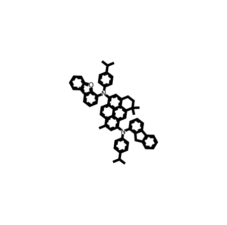 Cc1cc(N(c2ccc(C(C)C)cc2)c2cccc3c2Cc2ccccc2-3)c2cc3c4c(cc(N(c5ccc(C(C)C)cc5)c5cccc6c5oc5ccccc56)c5ccc1c2c54)CCC3(C)C